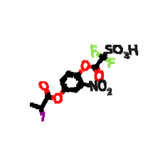 CC(I)C(=O)Oc1ccc(OC(=O)C(F)(F)S(=O)(=O)O)c([N+](=O)[O-])c1